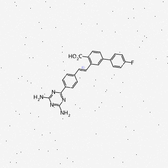 Nc1nc(N)nc(-c2ccc(/C=C/c3cc(-c4ccc(F)cc4)ccc3C(=O)O)cc2)n1